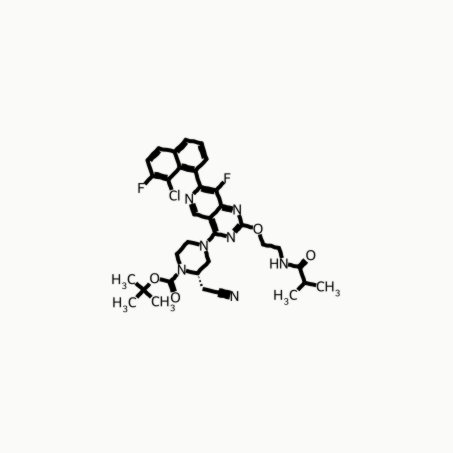 CC(C)C(=O)NCCOc1nc(N2CCN(C(=O)OC(C)(C)C)[C@@H](CC#N)C2)c2cnc(-c3cccc4ccc(F)c(Cl)c34)c(F)c2n1